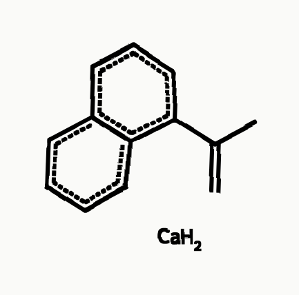 C=C(C)c1cccc2ccccc12.[CaH2]